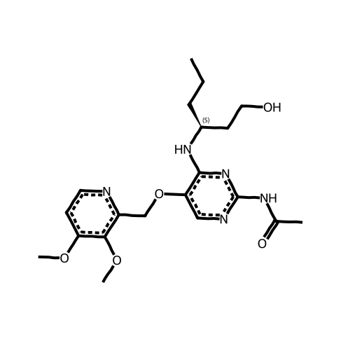 CCC[C@@H](CCO)Nc1nc(NC(C)=O)ncc1OCc1nccc(OC)c1OC